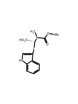 CCCCOC(=O)N(C)[C@H](Cc1c[nH]c2ccccc12)C(=O)O